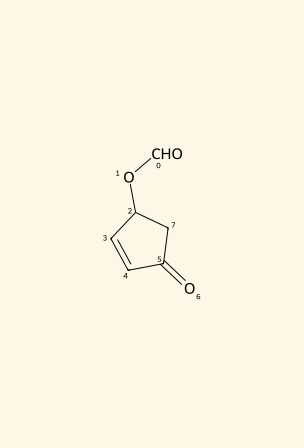 O=COC1C=CC(=O)C1